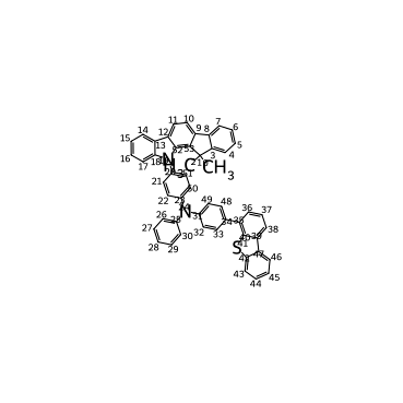 CC1(C)c2ccccc2-c2ccc3c4ccccc4n(-c4ccc(N(c5ccccc5)c5ccc(-c6cccc7c6sc6ccccc67)cc5)cc4)c3c21